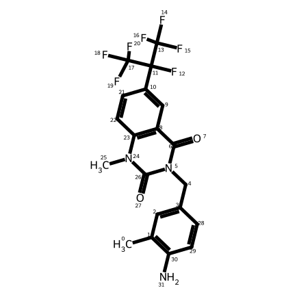 Cc1cc(Cn2c(=O)c3cc(C(F)(C(F)(F)F)C(F)(F)F)ccc3n(C)c2=O)ccc1N